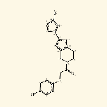 O=C(COc1ccc(Cl)cc1)N1CCc2sc(-c3noc(C(F)(F)F)n3)cc2C1